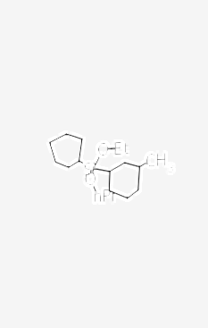 CCCO[Si](OCC)(C1CCCCC1)C1CCCC(C)C1